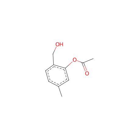 CC(=O)Oc1cc(C)ccc1CO